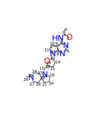 CC(=O)Nc1ncnc2c1ccn2C1CCC(CN2CCCC23CCN(C)CC3)O1